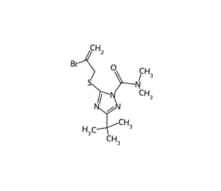 C=C(Br)CSc1nc(C(C)(C)C)nn1C(=O)N(C)C